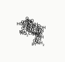 CC(C)C[C@H](NC(=O)[C@H](CCCCN)NC(=O)[C@H](CO)NC(=O)[C@H](C)NC(=O)[C@H](C)NC(=O)CNC(=O)CNC(=O)[C@@H](NC(=O)[C@@H](NC(=O)[C@H](CCCCN)NC(=O)[C@H](C)NC(=O)[C@@H](N)C(C)C)C(C)C)[C@@H](C)O)C(=O)N[C@@H](CO)C(=O)O